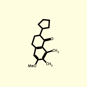 COc1cc2c(c(C)c1C)C(=O)C(C1CCCC1)CC2